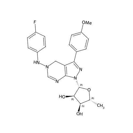 COc1ccc(-c2nn([C@@H]3O[C@H](C)[C@@H](O)[C@H]3O)c3c2CN(Nc2ccc(F)cc2)C=N3)cc1